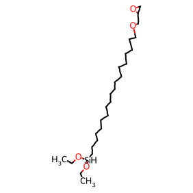 CCO[SiH](CCCCCCCCCCCCCCCCCCCOCC1CO1)OCC